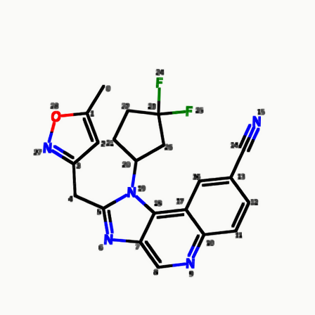 Cc1cc(Cc2nc3cnc4ccc(C#N)cc4c3n2C2CCC(F)(F)C2)no1